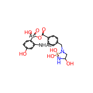 CC(=O)Nc1cc(O)ccc1[As](=O)(O)OC(=O)c1ccc(CN2CC(O)NS2(O)O)cc1